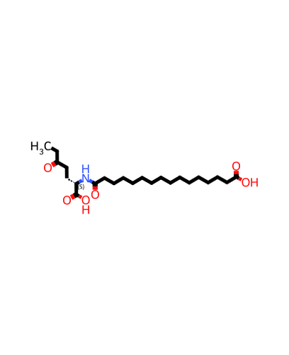 CCC(=O)CC[C@H](NC(=O)CCCCCCCCCCCCCCC(=O)O)C(=O)O